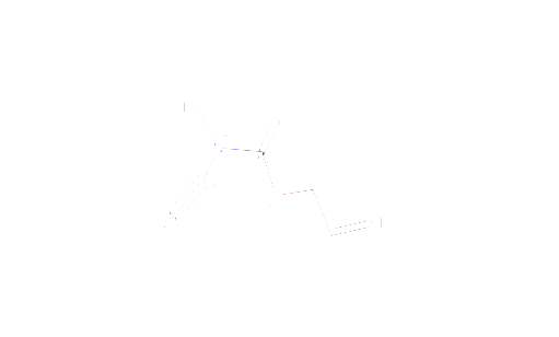 C=CCOC(=O)N(C)C#N